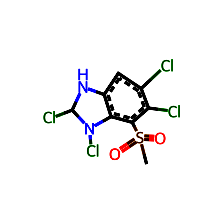 CS(=O)(=O)c1c(Cl)c(Cl)cc2c1N(Cl)C(Cl)N2